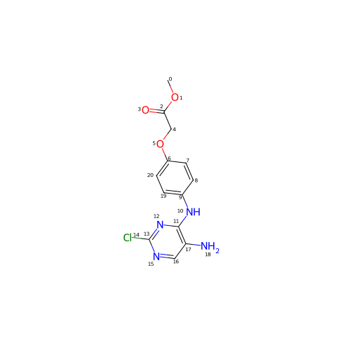 COC(=O)COc1ccc(Nc2nc(Cl)ncc2N)cc1